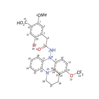 COc1cc(CC(=O)NN(c2ccc(OC(F)(F)F)cc2)c2ccccc2N2CCCCC2)c(Br)cc1C(=O)O